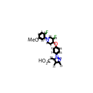 COc1ccc(F)c(N2CCC(Oc3ccc(N4N=C(C)C(C)C4CC(=O)O)cc3)C(F)C2)c1